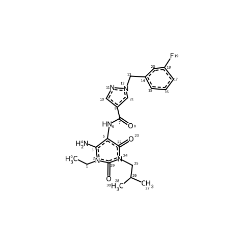 CCn1c(N)c(NC(=O)c2cnn(Cc3cccc(F)c3)c2)c(=O)n(CC(C)C)c1=O